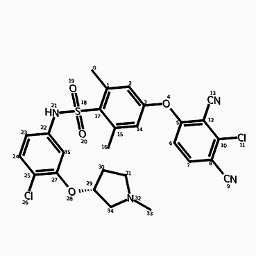 Cc1cc(Oc2ccc(C#N)c(Cl)c2C#N)cc(C)c1S(=O)(=O)Nc1ccc(Cl)c(O[C@@H]2CCN(C)C2)c1